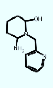 NC1CCCC(O)N1Cc1ccccn1